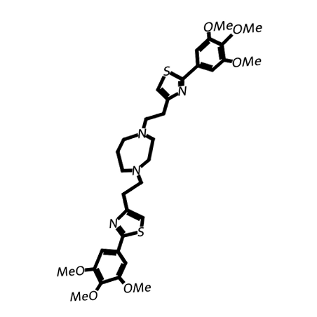 COc1cc(-c2nc(CCN3CCCN(CCc4csc(-c5cc(OC)c(OC)c(OC)c5)n4)CC3)cs2)cc(OC)c1OC